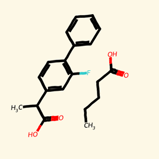 CC(C(=O)O)c1ccc(-c2ccccc2)c(F)c1.CCCCC(=O)O